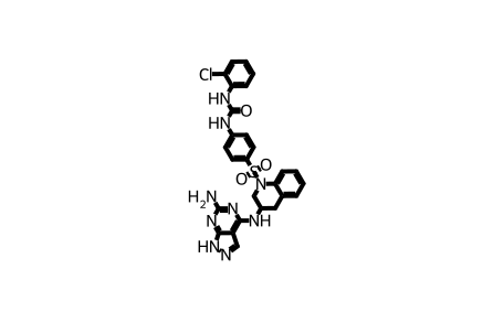 Nc1nc(NC2Cc3ccccc3N(S(=O)(=O)c3ccc(NC(=O)Nc4ccccc4Cl)cc3)C2)c2cn[nH]c2n1